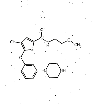 COCCN[S+]([O-])c1cc(Cl)c(Oc2cccc(N3CCNCC3)c2)s1